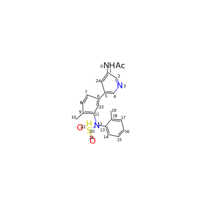 CC(=O)Nc1cncc(-c2ccc(C)c(N(c3ccccc3C)[SH](=O)=O)c2)c1